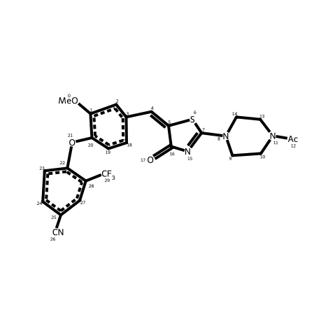 COc1cc(/C=C2/SC(N3CCN(C(C)=O)CC3)=NC2=O)ccc1Oc1ccc(C#N)cc1C(F)(F)F